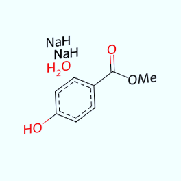 COC(=O)c1ccc(O)cc1.O.[NaH].[NaH]